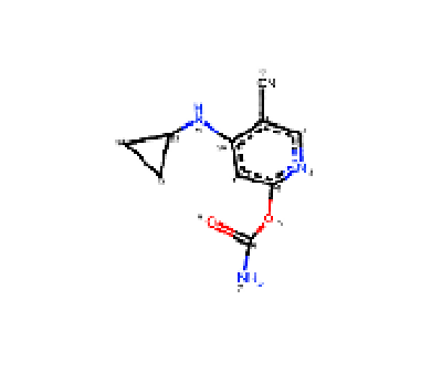 N#Cc1cnc(OC(N)=O)cc1NC1CC1